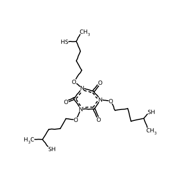 CC(S)CCCOn1c(=O)n(OCCCC(C)S)c(=O)n(OCCCC(C)S)c1=O